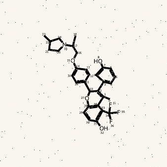 CC1=C(c2cccc(O)c2)C(c2ccc(OCC(C)N3CCC(C)C3)cc2)Oc2ccc(O)c(C(F)(F)F)c21